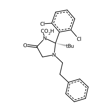 CC(C)(C)[C@]1(c2c(Cl)cccc2Cl)N(CCc2ccccc2)CC(=O)N1C(=O)O